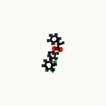 C=C(C(=O)OC1CC=C(c2cccc(F)c2F)CC1)C1CCCCC1